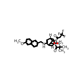 COc1ccc2cc(CNC3=C[C@@H]4C[C@@H]5CC3[C@H](OC(=O)C(C)(C)C)C4N(C(=O)CC(F)(F)F)C5)ccc2c1